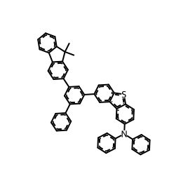 CC1(C)c2ccccc2-c2ccc(-c3cc(-c4ccccc4)cc(-c4ccc5sc6ccc(N(c7ccccc7)c7ccccc7)cc6c5c4)c3)cc21